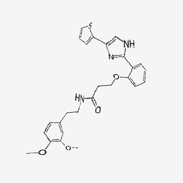 COc1ccc(CCNC(=O)CCOc2ccccc2-c2nc(-c3cccs3)c[nH]2)cc1OC